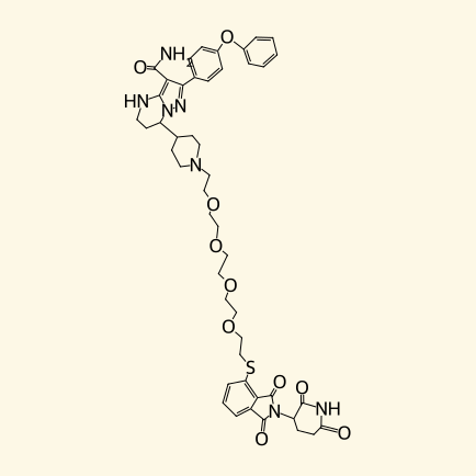 NC(=O)c1c(-c2ccc(Oc3ccccc3)cc2)nn2c1NCCC2C1CCN(CCOCCOCCOCCOCCSc2cccc3c2C(=O)N(C2CCC(=O)NC2=O)C3=O)CC1